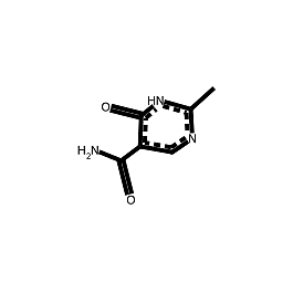 Cc1ncc(C(N)=O)c(=O)[nH]1